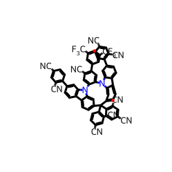 N#Cc1ccc(-c2ccc3c4ccc5cc4n(c3c2)-c2cc(C#N)c(-c3cc(C(F)(F)F)cc(C(F)(F)F)c3)cc2-n2c3cc(-c4ccc(C#N)cc4C#N)ccc3c3ccc(cc32)C5(c2ccc(C#N)cc2C#N)c2ccc(C#N)cc2C#N)c(C#N)c1